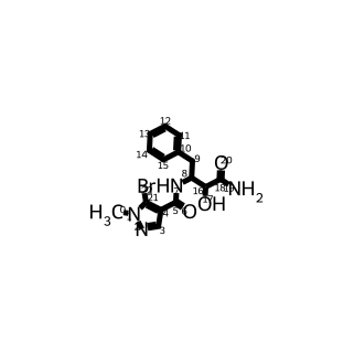 Cn1ncc(C(=O)NC(Cc2ccccc2)C(O)C(N)=O)c1Br